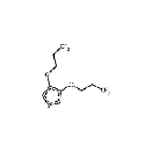 FC(F)(F)CCOc1cscc1OCCC(F)(F)F